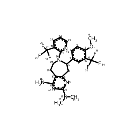 COc1ccc(C2Cc3nc(N(C)C)nc(N)c3CCN2c2ncccc2C(F)(F)F)cc1C(F)(F)F